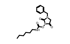 CCCCCCNC(=O)ON1C(=O)CN(Cc2ccccc2)C1=O